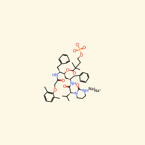 Cc1cccc(C)c1OCC(=O)N[C@@H](Cc1ccccc1)[C@H](C[C@@H](Cc1ccccc1)NC(=O)[C@H](C(C)C)N1CCCNC1=O)OC(=O)C(C)(C)CCOP(=O)([O-])[O-].[Na+].[Na+]